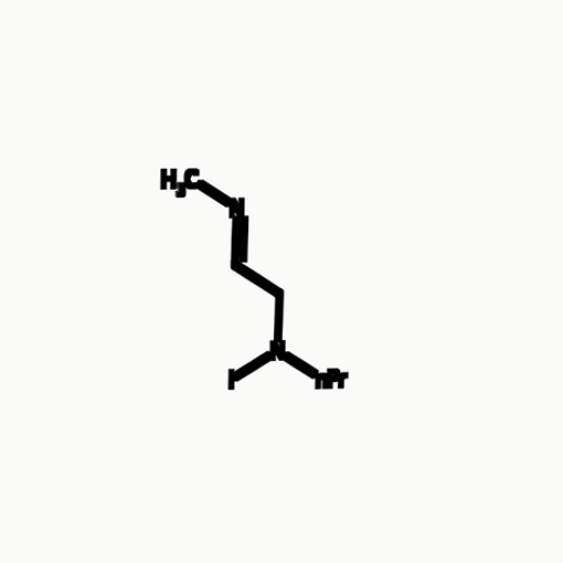 CCCN(I)C/C=N/C